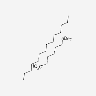 CCCCCCCCCCCCCC.CCCCCCCCCCCCCCCC(=O)O